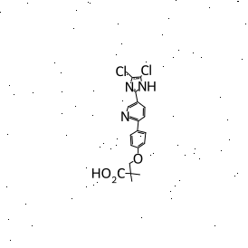 CC(C)(COc1ccc(-c2ccc(-c3nc(Cl)c(Cl)[nH]3)cn2)cc1)C(=O)O